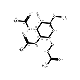 CO[C@H]1O[C@H](COC(C)=O)[C@@H](OC(C)=O)[C@H](OC(C)=O)[C@@H]1F